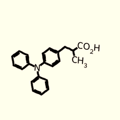 CC(Cc1ccc(N(c2ccccc2)c2ccccc2)cc1)C(=O)O